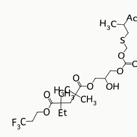 CCC(C)(CC(C)(C)C(=O)OCC(O)COC(=O)OCSCC(C)C(C)=O)C(=O)OCCC(F)(F)F